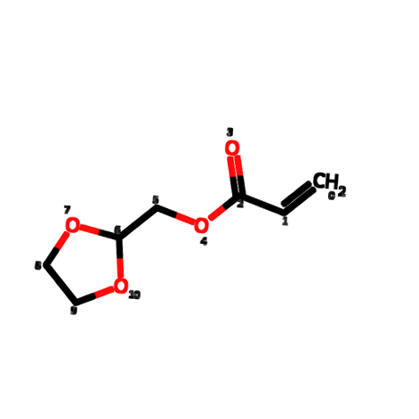 C=CC(=O)OCC1OCCO1